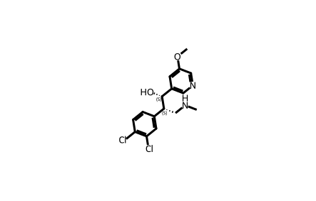 CNC[C@H](c1ccc(Cl)c(Cl)c1)[C@H](O)c1cncc(OC)c1